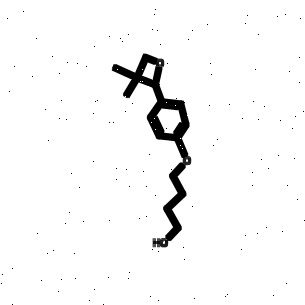 CC1(C)COC1c1ccc(OCCCCO)cc1